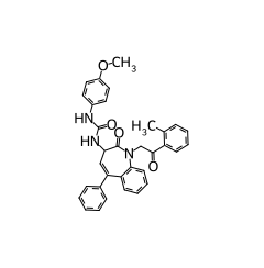 COc1ccc(NC(=O)NC2C=C(c3ccccc3)c3ccccc3N(CC(=O)c3ccccc3C)C2=O)cc1